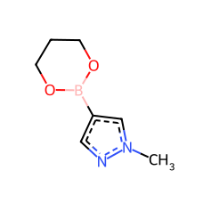 Cn1cc(B2OCCCO2)cn1